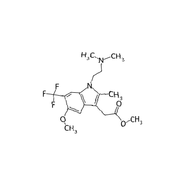 COC(=O)Cc1c(C)n(CCN(C)C)c2cc(C(F)(F)F)c(OC)cc12